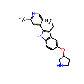 CCc1c(-c2ccnc(C)c2)[nH]c2ccc(OC3CCNC3)cc12